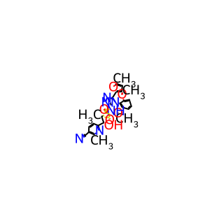 COc1cccc(OC)c1-n1c(NS(=O)(=O)C(C)C(O)c2ccc(C#N)c(C)n2)nnc1-c1ccc(C)o1